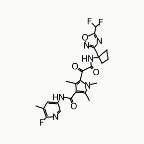 Cc1cc(NC(=O)c2c(C)c(C(=O)C(=O)NC3(c4noc(C(F)F)n4)CCC3)n(C)c2C)cnc1F